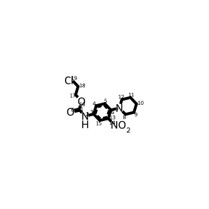 O=C(Nc1ccc(N2CCCCC2)c([N+](=O)[O-])c1)OCCCl